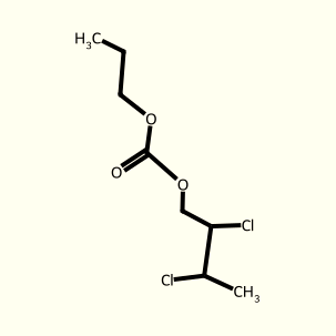 CCCOC(=O)OCC(Cl)C(C)Cl